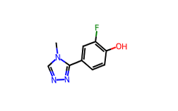 Cn1cnnc1-c1ccc(O)c(F)c1